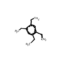 [CH2]Cc1cc(CC)c(CC)cc1CC